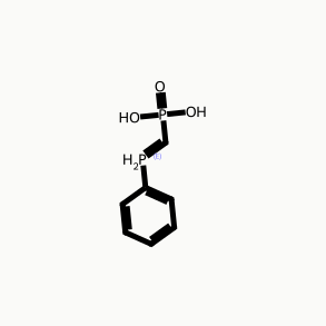 O=P(O)(O)/C=[PH2]/c1ccccc1